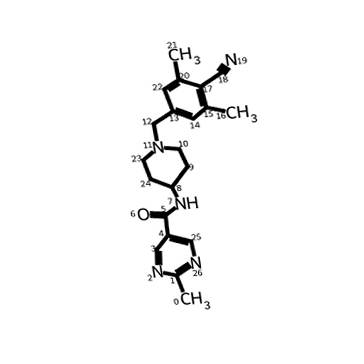 Cc1ncc(C(=O)NC2CCN(Cc3cc(C)c(C#N)c(C)c3)CC2)cn1